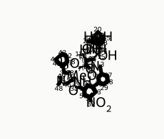 COc1c(CN2O[C@@H](CO)[C@@H]([C@H](C)O)[C@H]2C(O)N[C@H]2C[C@H]3C[C@@H]([C@@H]2C)C3(C)C)cccc1-c1cc(C(=O)N[C@@H](CCc2ccccc2)CN(C)C)cc([N+](=O)[O-])c1